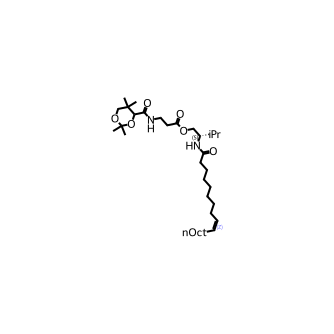 CCCCCCCC/C=C\CCCCCCCC(=O)N[C@H](COC(=O)CCNC(=O)C1OC(C)(C)OCC1(C)C)C(C)C